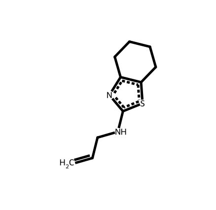 C=CCNc1nc2c(s1)CCCC2